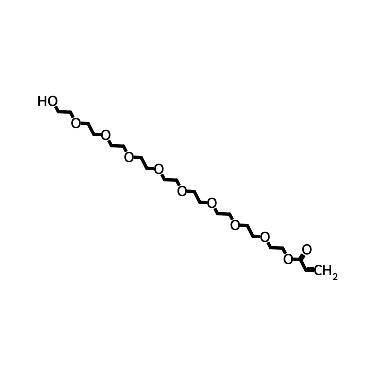 C=CC(=O)OCCOCCOCCOCCOCCOCCOCCOCCOCCO